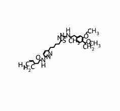 C=C(/C=C\C)CC(=O)Nc1ccc(CCCCc2nnc(NC(=C)Cc3ccc(C(=C)OC)c(OCC)c3)s2)nn1